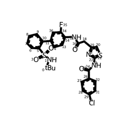 CC(C)(C)NS(=O)(=O)c1ccccc1-c1ccc(NC(=O)Cc2csc(NC(=O)c3ccc(Cl)cc3)n2)c(F)c1